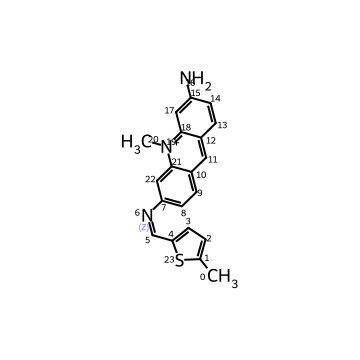 Cc1ccc(/C=N\c2ccc3cc4ccc(N)cc4[n+](C)c3c2)s1